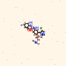 Cc1ccc(NC(=O)Nc2ccc(OCCN(C)C)c(-c3c(F)cnn3C)c2)c(O)c1